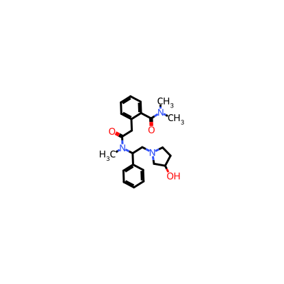 CN(C)C(=O)c1ccccc1CC(=O)N(C)C(CN1CCC(O)C1)c1ccccc1